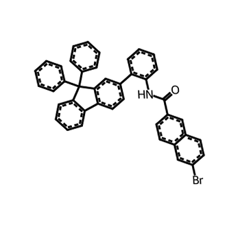 O=C(Nc1ccccc1-c1ccc2c(c1)C(c1ccccc1)(c1ccccc1)c1ccccc1-2)c1ccc2cc(Br)ccc2c1